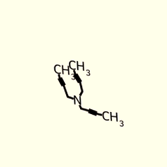 CC#CCN(CC#CC)CC#CC